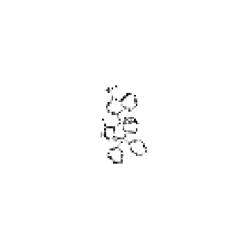 Cc1ncn(C(c2ccccc2)(c2ccccc2)c2ccccc2)c1C(O)c1ccc(N(C)C)c2ccccc12